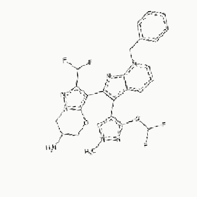 Cn1cc(-c2c3cccn(Cc4ccccc4)c-3nc2-c2c(C(F)F)nn3c2OCC(N)C3)c(OC(F)F)n1